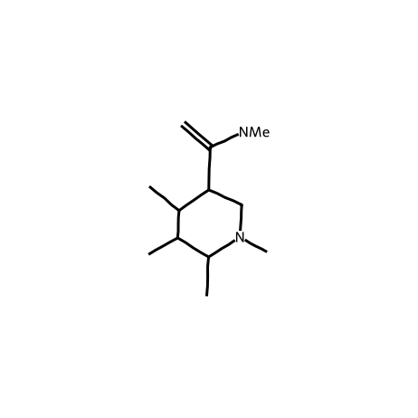 C=C(NC)C1CN(C)C(C)C(C)C1C